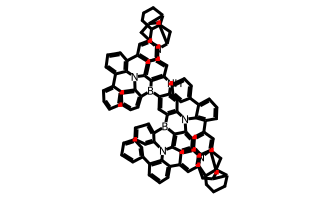 c1ccc(-c2cccc(-c3ccccc3)c2N2c3ccccc3B3c4cc5c(cc4Nc4cc(N6C7CC8CC6C6CCCC8C6C7)cc2c43)N(c2c(-c3ccccc3)cccc2-c2ccccc2)c2cc(N3C4CC6CC3C3CCCC6C3C4)cc3c2B5c2ccccc2N3c2c(-c3ccccc3)cccc2-c2ccccc2)cc1